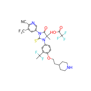 CC(F)(F)c1cc(N2C(=S)N(c3cnc(C#N)c(C(F)(F)F)c3)C(=O)C2(C)C)ccc1OCCC1CCNCC1.O=C(O)C(F)(F)F